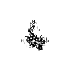 C=C[C@@H]1C[C@]1(NC(=O)[C@@H]1C[C@@H](Oc2cc(-c3csc(NC(C)C)n3)nc3c(Cl)c(OC)ccc23)CN1C(=O)[C@@H](NC(=O)OC1C2CCC1CC2)C(C)(C)C)C(=O)O